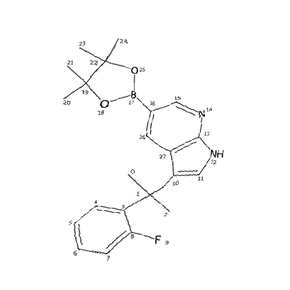 CC(C)(c1ccccc1F)c1c[nH]c2ncc(B3OC(C)(C)C(C)(C)O3)cc12